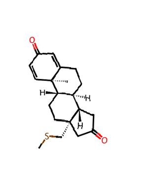 CSC[C@]12CC[C@H]3[C@@H](CCC4=CC(=O)C=C[C@@]43C)[C@@H]1CC(=O)C2